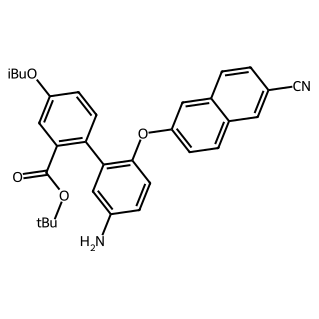 CC(C)COc1ccc(-c2cc(N)ccc2Oc2ccc3cc(C#N)ccc3c2)c(C(=O)OC(C)(C)C)c1